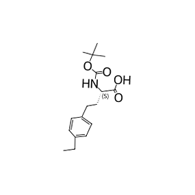 CCc1ccc(CC[C@H](NC(=O)OC(C)(C)C)C(=O)O)cc1